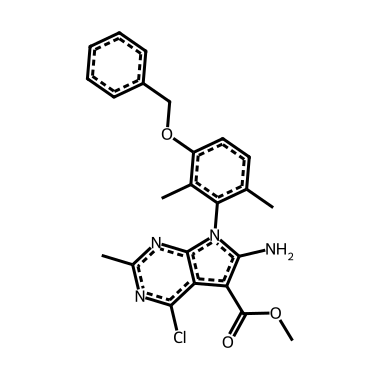 COC(=O)c1c(N)n(-c2c(C)ccc(OCc3ccccc3)c2C)c2nc(C)nc(Cl)c12